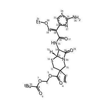 C=CC1(C(=O)OCOC(=O)C(C)(C)C)CS[C@@H]2C(NC(=O)C(=NOCC)c3csc(N)n3)C(=O)N2C1